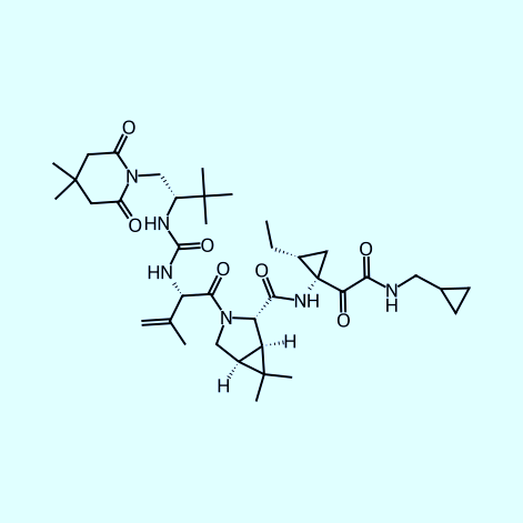 C=C(C)[C@H](NC(=O)N[C@H](CN1C(=O)CC(C)(C)CC1=O)C(C)(C)C)C(=O)N1C[C@H]2[C@@H]([C@H]1C(=O)N[C@@]1(C(=O)C(=O)NCC3CC3)C[C@H]1CC)C2(C)C